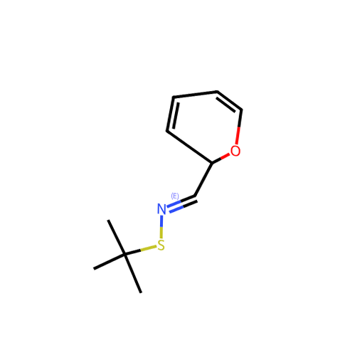 CC(C)(C)S/N=C/C1C=CC=CO1